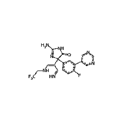 N=C/C(=C\NCC(F)(F)F)C1(c2ccc(F)c(-c3cncnc3)c2)N=C(N)NC1=O